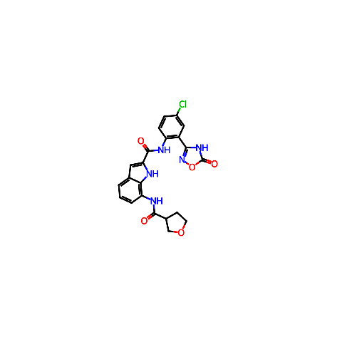 O=C(Nc1ccc(Cl)cc1-c1noc(=O)[nH]1)c1cc2cccc(NC(=O)C3CCOC3)c2[nH]1